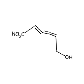 O=C(O)C=C=CCO